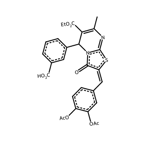 CCOC(=O)C1=C(C)N=c2sc(=Cc3ccc(OC(C)=O)c(OC(C)=O)c3)c(=O)n2C1c1cccc(C(=O)O)c1